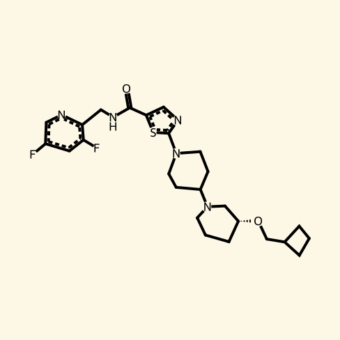 O=C(NCc1ncc(F)cc1F)c1cnc(N2CCC(N3CCC[C@@H](OCC4CCC4)C3)CC2)s1